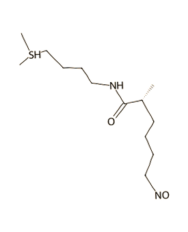 C[C@H](CCCCN=O)C(=O)NCCCC[SH](C)C